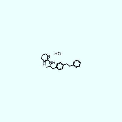 CC(Cc1ccc(CCc2ccccc2)cc1)NC1=NCCCN1.Cl